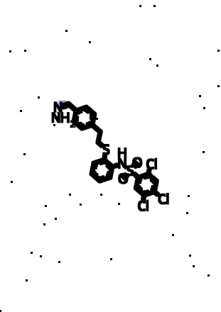 N/N=C\c1ccc(CCSc2ccccc2NS(=O)(=O)c2cc(Cl)c(Cl)cc2Cl)cc1